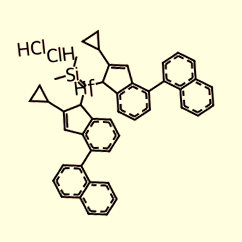 C[Si](C)=[Hf]([CH]1C(C2CC2)=Cc2c(-c3cccc4ccccc34)cccc21)[CH]1C(C2CC2)=Cc2c(-c3cccc4ccccc34)cccc21.Cl.Cl